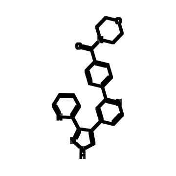 O=C(c1ccc(-c2cc(-c3c[nH]nc3-c3ccccn3)ccn2)cc1)N1CCOCC1